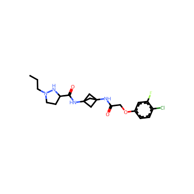 CCCN1CCC(C(=O)NC23CC(NC(=O)COc4ccc(Cl)c(F)c4)(C2)C3)N1